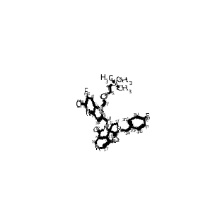 C[Si](C)(C)CCOCn1c(CN2C(=O)c3cnccc3C23CCN(Cc2ccc(F)cc2)C3=O)cc2nc(Cl)c(F)cc21